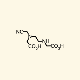 N#CCN(CCNCC(=O)O)CC(=O)O